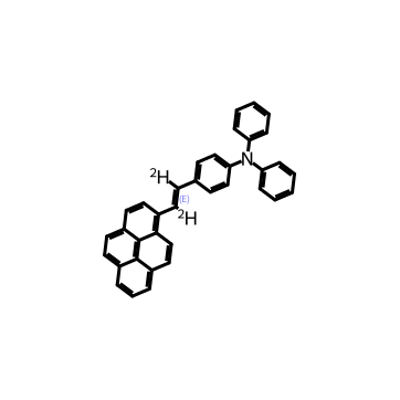 [2H]/C(=C(/[2H])c1ccc2ccc3cccc4ccc1c2c34)c1ccc(N(c2ccccc2)c2ccccc2)cc1